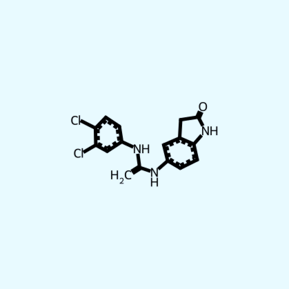 C=C(Nc1ccc(Cl)c(Cl)c1)Nc1ccc2c(c1)CC(=O)N2